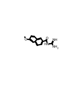 COc1ccc2cc(C(=O)NC(=N)N)ccc2c1